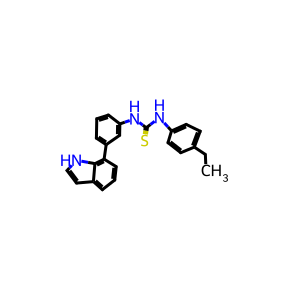 CCc1ccc(NC(=S)Nc2cccc(-c3cccc4cc[nH]c34)c2)cc1